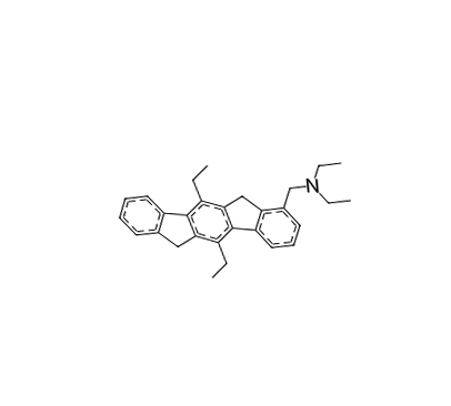 CCc1c2c(c(CC)c3c1-c1ccccc1C3)-c1cccc(CN(CC)CC)c1C2